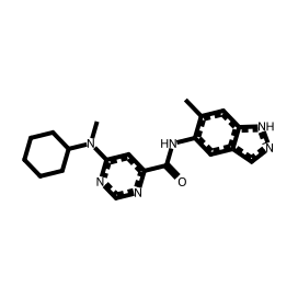 Cc1cc2[nH]ncc2cc1NC(=O)c1cc(N(C)C2CCCCC2)ncn1